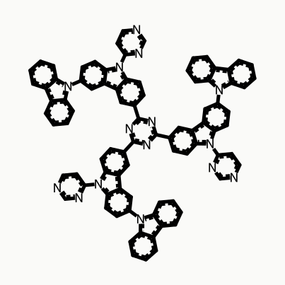 c1ccc2c(c1)c1ccccc1n2-c1ccc2c(c1)c1cc(-c3nc(-c4ccc5c(c4)c4cc(-n6c7ccccc7c7ccccc76)ccc4n5-c4ccncn4)nc(-c4ccc5c(c4)c4cc(-n6c7ccccc7c7ccccc76)ccc4n5-c4ccncn4)n3)ccc1n2-c1ccncn1